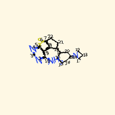 Nc1ncnc2sc3c(c12)C(C1CCC[C@H](N2CCC2)C1)CC3